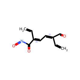 C=C/C(C=O)=C\C=C(/C=C)C(=O)N=O